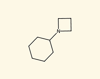 C1CC[C](N2CCC2)CC1